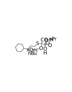 CCCCCCCCCCOC(SCCC(CCCC)C1CCCCC1)(C(=O)O)P(=O)(O)OCCC